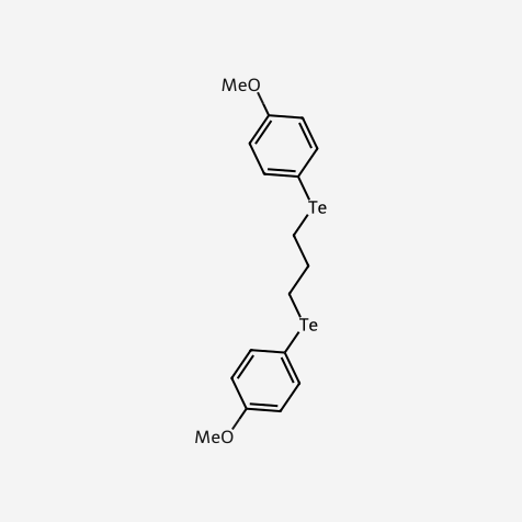 COc1ccc([Te]CCC[Te]c2ccc(OC)cc2)cc1